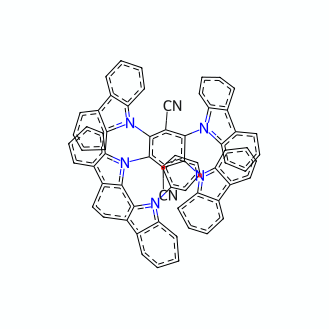 N#Cc1c(-n2c3ccccc3c3ccccc32)c(-n2c3ccccc3c3ccccc32)c(C#N)c(-n2c3ccccc3c3ccc4c5ccccc5n(-c5ccccc5)c4c32)c1-n1c2ccccc2c2ccccc21